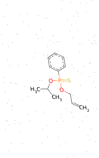 C=CCOP(=S)(OC(C)C)c1ccccc1